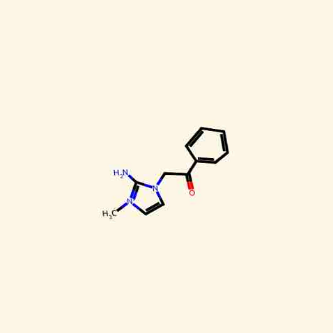 C[n+]1ccn(CC(=O)c2ccccc2)c1N